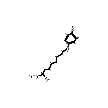 CCOC(=O)C(CCCCCCCOc1ccc(Br)cc1)C(C)=O